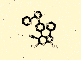 Cn1nc(-c2cccnc2)c2c1OC(N)=C(C#N)C2c1ccc(-n2ccnc2-c2ccccn2)cc1